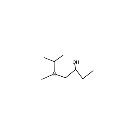 CCC(O)CN(C)C(C)C